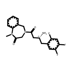 CN1C(=O)CN(C(=O)C[C@H](N)Cc2cc(F)c(F)cc2F)Cc2ccccc21